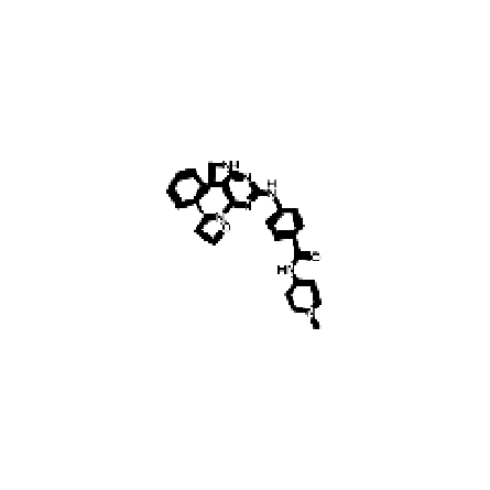 CN1CCC(NC(=O)c2ccc(Nc3nc(N4OCC[C@H]4c4ccccc4)c4cc[nH]c4n3)cc2)CC1